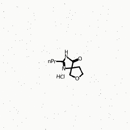 CCCC1=NC2(CCOC2)C(=O)N1.Cl